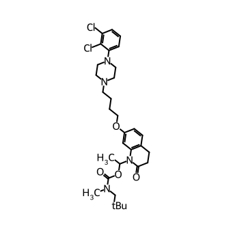 CC(OC(=O)N(C)CC(C)(C)C)N1C(=O)CCc2ccc(OCCCCN3CCN(c4cccc(Cl)c4Cl)CC3)cc21